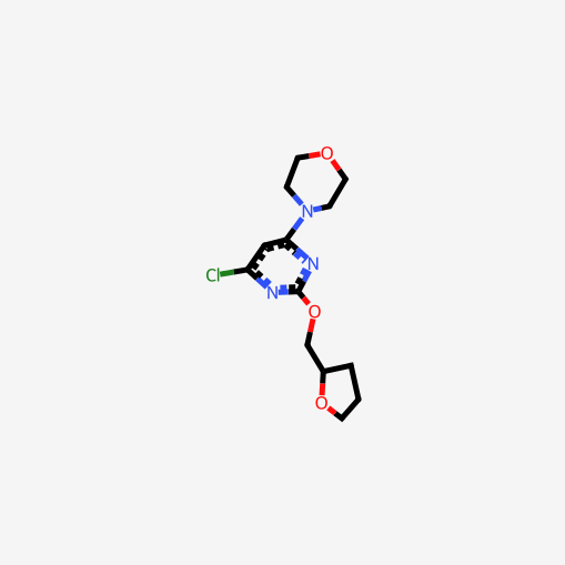 Clc1cc(N2CCOCC2)nc(OCC2CCCO2)n1